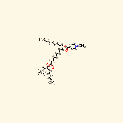 CCCCCCCCCC(CCCCCCCCC(=O)OC(CCCC)CCCCCC)OC(=O)C1CCN(C)CC1